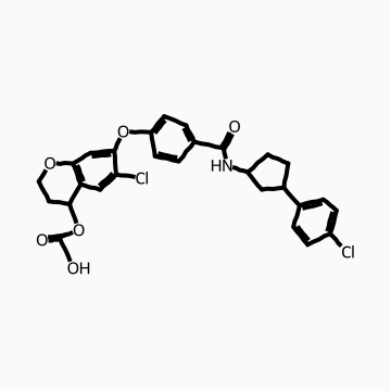 O=C(O)OC1CCOc2cc(Oc3ccc(C(=O)NC4CCC(c5ccc(Cl)cc5)C4)cc3)c(Cl)cc21